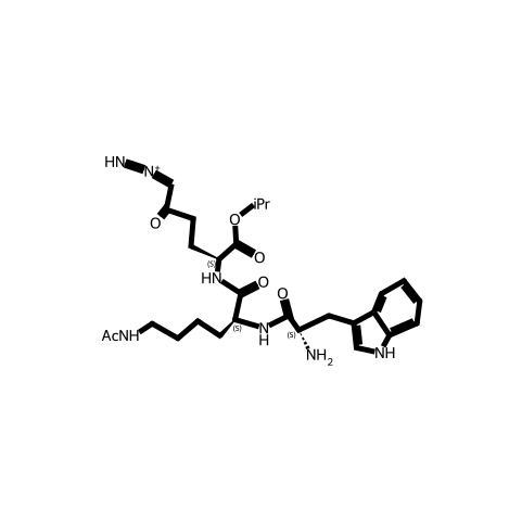 CC(=O)NCCCC[C@H](NC(=O)[C@@H](N)Cc1c[nH]c2ccccc12)C(=O)N[C@@H](CCC(=O)C=[N+]=N)C(=O)OC(C)C